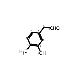 Cc1ccc(C[C]=O)cc1O